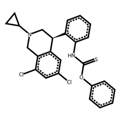 S=C(Nc1ccccc1[C@@H]1CN(C2CC2)Cc2c(Cl)cc(Cl)cc21)Oc1ccccc1